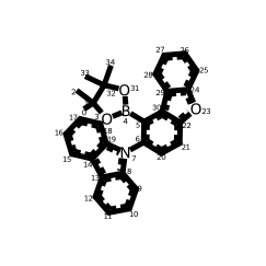 CC1(C)OB(c2c(-n3c4ccccc4c4ccccc43)ccc3oc4ccccc4c23)OC1(C)C